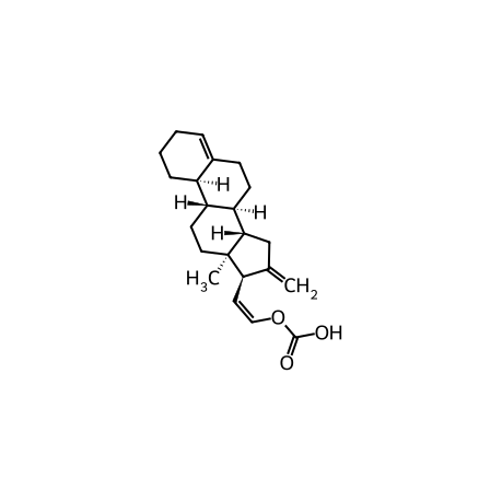 C=C1C[C@H]2[C@@H]3CCC4=CCCC[C@@H]4[C@H]3CC[C@]2(C)[C@@H]1/C=C\OC(=O)O